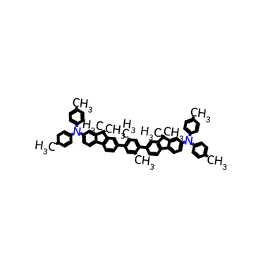 Cc1ccc(N(C2=CCC(C)C=C2)c2ccc3c(c2)C(C)(C)c2cc(-c4cc(C)c(-c5ccc6c(c5)C(C)(C)c5cc(N(c7ccc(C)cc7)c7ccc(C)cc7)ccc5-6)cc4C)ccc2-3)cc1